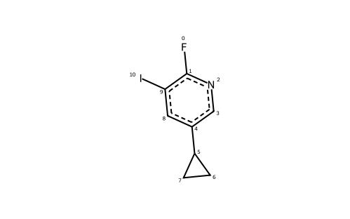 Fc1ncc(C2CC2)cc1I